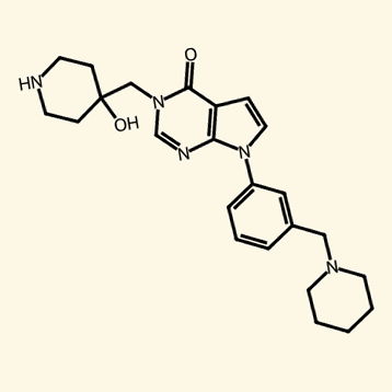 O=c1c2ccn(-c3cccc(CN4CCCCC4)c3)c2ncn1CC1(O)CCNCC1